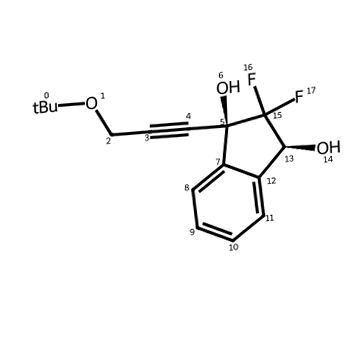 CC(C)(C)OCC#C[C@@]1(O)c2ccccc2[C@H](O)C1(F)F